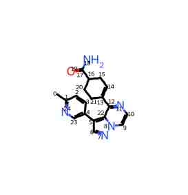 Cc1ccc(-c2cnn3ccnc(C4=CCC(C(N)=O)CC4)c23)cn1